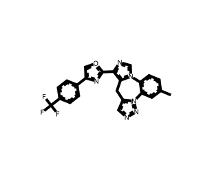 Cc1ccc2c(c1)-n1nncc1Cc1c(-c3nc(-c4ccc(C(F)(F)F)cc4)co3)ncn1-2